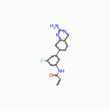 C=CC(=O)Nc1cc(F)cc(-c2ccc3cnc(N)nc3c2)c1